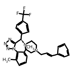 Cc1cccc(C)c1-n1nnnc1[C@@H](c1ccc(C(F)(F)F)cc1)N1CCN(C/C=C/c2ccccc2)CC1